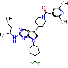 CCCC(C)Nc1ncc2c(C3CCN(C(=O)c4cc(C)nc(C)c4)CC3)cn(C3CCC(C(F)F)CC3)c2n1